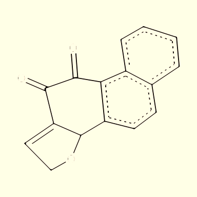 O=C1C(=O)c2c(ccc3ccccc23)C2OCC=C12